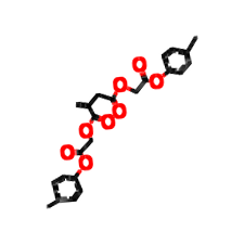 C=C(CC(=O)OCC(=O)Oc1ccc(C)cc1)C(=O)OCC(=O)Oc1ccc(C)cc1